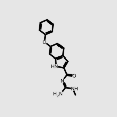 CNC(N)=NC(=O)c1cc2ccc(Oc3ccccc3)cc2[nH]1